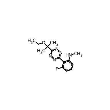 CCOC(C)(C)c1nnc(-c2c(F)cccc2NC)nn1